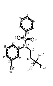 O=S(=O)(c1ccccc1)N(CCC(F)(F)F)c1cccc(Br)c1